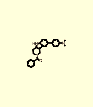 CN(C)c1ccc(-c2ccc3[nH]c4c(c3c2)CN(C(=O)c2ccccc2)CC4)cc1